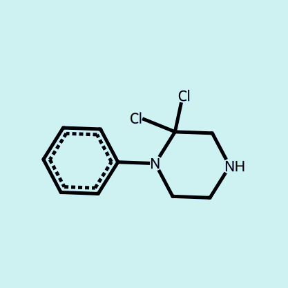 ClC1(Cl)CNCCN1c1ccccc1